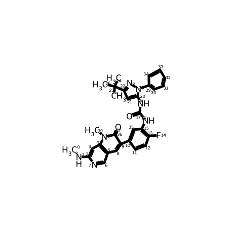 CNc1cc2c(cn1)cc(-c1ccc(F)c(NC(=O)Nc3cc(C(C)(C)C)nn3-c3ccccc3)c1)c(=O)n2C